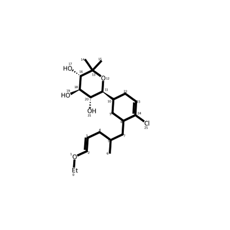 CCO/C=C/CC(C)CC1CC([C@@H]2OC(C)(C)[C@@H](O)[C@H](O)[C@H]2O)CC=C1Cl